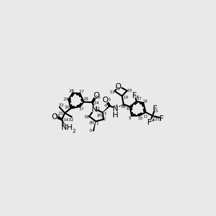 C[C@@H]1C[C@H](C(=O)N[C@@H](c2ccc(C(F)(F)F)cc2F)C2COC2)N(C(=O)c2cccc(C(C)(C)C(N)=O)c2)C1